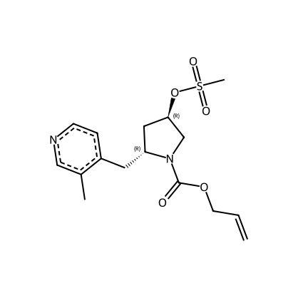 C=CCOC(=O)N1C[C@H](OS(C)(=O)=O)C[C@H]1Cc1ccncc1C